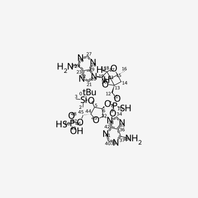 CC(C)(C)[Si](C)(C)OC1[C@@H](OP(=O)(S)OC[C@@]23C[C@]4(C)O[C@@H]([C@H](n5cnc6c(N)ncnc65)O2)[C@@H]34)[C@H](n2cnc3c(N)ncnc32)O[C@@H]1CO[P@](=O)(O)S